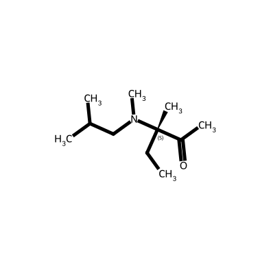 CC[C@@](C)(C(C)=O)N(C)CC(C)C